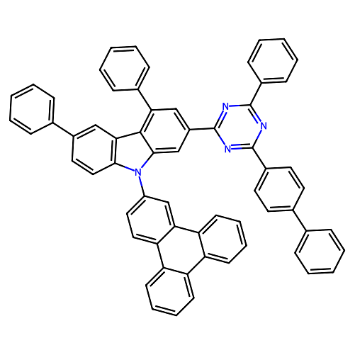 c1ccc(-c2ccc(-c3nc(-c4ccccc4)nc(-c4cc(-c5ccccc5)c5c6cc(-c7ccccc7)ccc6n(-c6ccc7c8ccccc8c8ccccc8c7c6)c5c4)n3)cc2)cc1